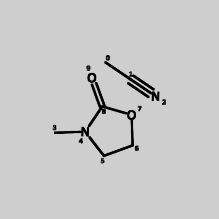 CC#N.CN1CCOC1=O